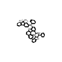 CC1(C)C2=C(C=CCC2)c2ccc(N(c3ccccc3)c3ccc(C4Nc5c(oc6ccccc56)C(c5ccccc5)N4)c4c3oc3ccc5ccccc5c34)cc21